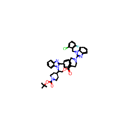 CC(C)(C)OC(=O)N1CCC(C(COC(=O)C2CCN(c3nc4ccccc4n3Cc3c(F)cccc3Cl)CC2)n2c(-c3ccccc3)nc3ccccc32)CC1